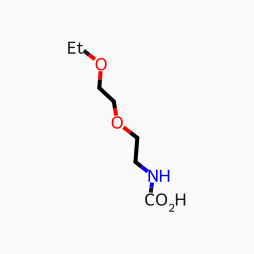 CCOCCOCCNC(=O)O